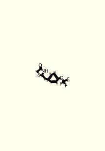 O=C1CSC(Cc2ccc(OC(F)(F)F)cc2)N1